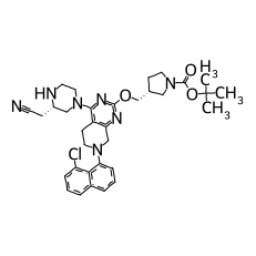 CC(C)(C)OC(=O)N1CC[C@@H](COc2nc3c(c(N4CCN[C@@H](CC#N)C4)n2)CCN(c2cccc4cccc(Cl)c24)C3)C1